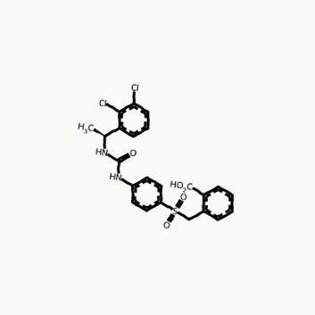 C[C@H](NC(=O)Nc1ccc(S(=O)(=O)Cc2ccccc2C(=O)O)cc1)c1cccc(Cl)c1Cl